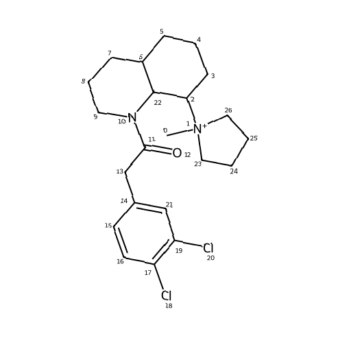 C[N+]1(C2CCCC3CCCN(C(=O)Cc4ccc(Cl)c(Cl)c4)C32)CCCC1